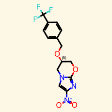 O=[N+]([O-])c1cn2c(n1)OC[C@H](OCc1ccc(C(F)(F)F)cc1)C2